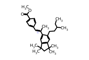 CCC(C)CCc1cc2c(cc1/C(C)=C/c1ccc(C(=O)OC)cc1)C(C)(C)CC2(C)C